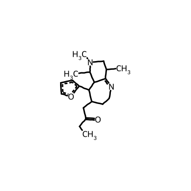 CCC(=O)CC1CCN=C2C(C)CN(C)C(C)C2C1c1ccco1